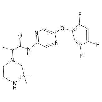 CC(C(=O)Nc1cnc(Oc2cc(F)c(F)cc2F)cn1)N1CCNC(C)(C)C1